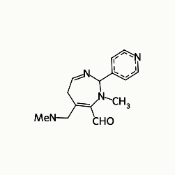 CNCC1=C(C=O)N(C)C(c2ccncc2)N=CC1